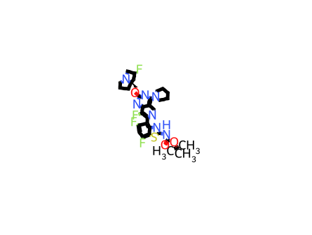 CC(C)(C)OC(=O)Nc1nc2c(-c3ncc4c(N5CCCCC5)nc(OC[C@@]56CCCN5C[C@H](F)C6)nc4c3F)c(F)cc(F)c2s1